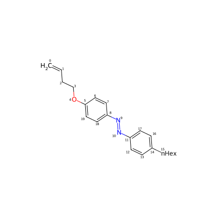 C=CCCOc1ccc(N=Nc2ccc(CCCCCC)cc2)cc1